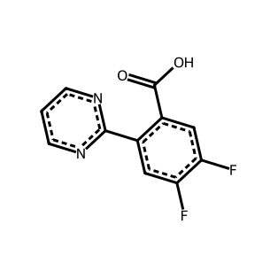 O=C(O)c1cc(F)c(F)cc1-c1ncccn1